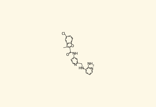 Cc1c(C(=O)Nc2ccnc(CNc3cccnc3N)c2)oc2ccc(Cl)cc12